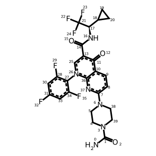 NC(=O)N1CCN(c2ccc3c(=O)c(C(=O)N[C@H](C4CC4)C(F)(F)F)cn(-c4c(F)cc(F)cc4F)c3n2)CC1